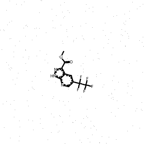 COC(=O)c1n[nH]c2ncc(C(F)(F)C(F)(F)F)cc12